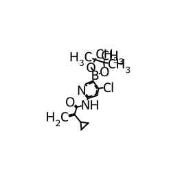 C=C(C(=O)Nc1cc(Cl)c(B2OC(C)(C)C(C)(C)O2)cn1)C1CC1